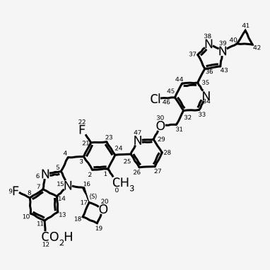 Cc1cc(Cc2nc3c(F)cc(C(=O)O)cc3n2C[C@@H]2CCO2)c(F)cc1-c1cccc(OCc2cnc(-c3cnn(C4CC4)c3)cc2Cl)n1